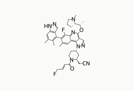 Cc1cc2[nH]ncc2c(-c2c(C)cc3c(nc(O[C@@H](C)[C@@H]4CCCN4C)c4cnn([C@H]5CCN(C(=O)/C=C/CF)[C@H](CC#N)C5)c43)c2F)c1C